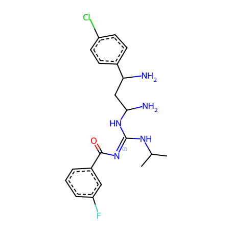 CC(C)N/C(=N/C(=O)c1cccc(F)c1)NC(N)CC(N)c1ccc(Cl)cc1